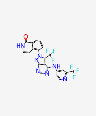 O=c1[nH]ccc2c(-n3nc4ncnc(Nc5ccnc(C(F)(F)F)c5)c4c3C(F)(F)F)cccc12